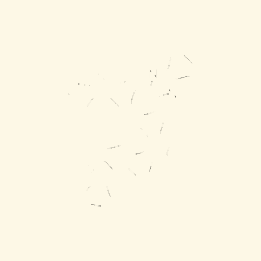 c1ccc2nc(-c3ccc4c(c3)sc3ccccc34)c(-c3ccc4c(ccc5ccc6c(ccc7sc8ccccc8c76)c54)c3)nc2c1